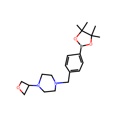 CC1(C)OB(c2ccc(CN3CCN(C4COC4)CC3)cc2)OC1(C)C